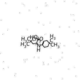 CC(C)(C)C[C@H](NC1=CCC(C)(C)CC1)C(=O)O